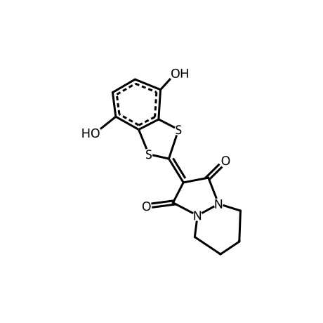 O=C1C(=C2Sc3c(O)ccc(O)c3S2)C(=O)N2CCCCN12